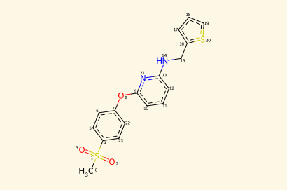 CS(=O)(=O)c1ccc(Oc2cccc(NCc3cccs3)n2)cc1